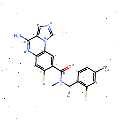 C[C@@H](c1ccc(C(F)(F)F)cc1F)N(C)C(=O)c1cc2c(cc1F)nc(N)c1cncn12